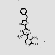 C[C@H](NC(=O)c1nc(Cc2ccccc2)c[nH]1)C(=O)[C@H](C=O)C(N)C(=O)O